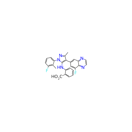 Cc1nn(-c2cccc(F)c2C)c(Nc2ccccc2C(=O)O)c1-c1cc(F)c2nccnc2c1